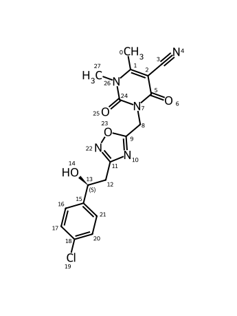 Cc1c(C#N)c(=O)n(Cc2nc(C[C@H](O)c3ccc(Cl)cc3)no2)c(=O)n1C